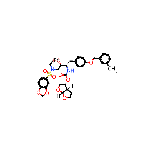 Cc1cccc(COc2ccc(C[C@H](NC(=O)O[C@H]3CO[C@H]4OCC[C@H]43)[C@H](O)CN(CC(C)C)S(=O)(=O)c3ccc4c(c3)OCO4)cc2)c1